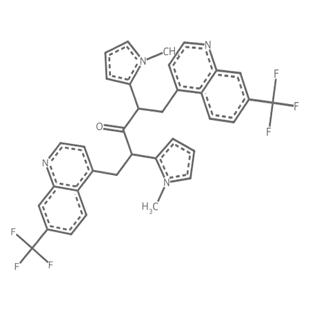 Cn1cccc1C(Cc1ccnc2cc(C(F)(F)F)ccc12)C(=O)C(Cc1ccnc2cc(C(F)(F)F)ccc12)c1cccn1C